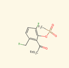 CCOC(=O)C(=O)c1c(CF)ccc(F)c1OS(=O)(=O)C(F)(F)F